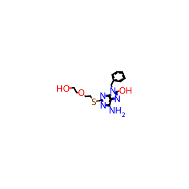 Nc1nc(SCCOCCO)nc2c1nc(O)n2Cc1ccccc1